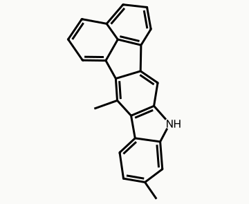 Cc1ccc2c(c1)[nH]c1cc3c(c(C)c12)-c1cccc2cccc-3c12